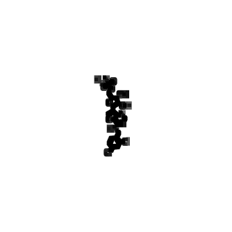 NS(=O)(=O)OCC1OC(c2coc3c(NCc4ccc(Cl)cc4Cl)ncnc23)C(O)C1O